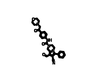 N#Cc1c(C=O)c2n(c1-c1ccccc1)CCN(C(=O)Nc1ccc(C(=O)CN3CCOCC3)cc1)C2